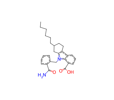 CCCCCCC1CCc2c(n(Cc3ccccc3C(N)=O)c3c(C(=O)O)cccc23)C1